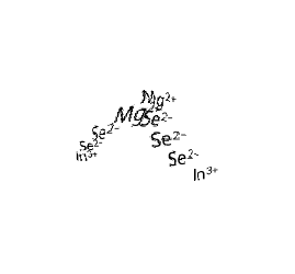 [In+3].[In+3].[Mg+2].[Mg+2].[Se-2].[Se-2].[Se-2].[Se-2].[Se-2]